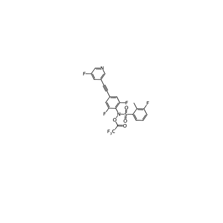 Cc1c(F)cccc1S(=O)(=O)N(OC(=O)C(F)(F)F)c1c(F)cc(C#Cc2cncc(F)c2)cc1F